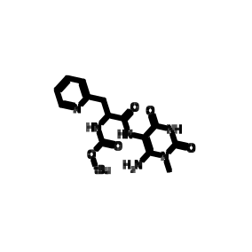 Cn1c(N)c(NC(=O)C(Cc2ccccn2)NC(=O)OC(C)(C)C)c(=O)[nH]c1=O